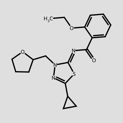 CCOc1ccccc1C(=O)N=c1sc(C2CC2)nn1CC1CCCO1